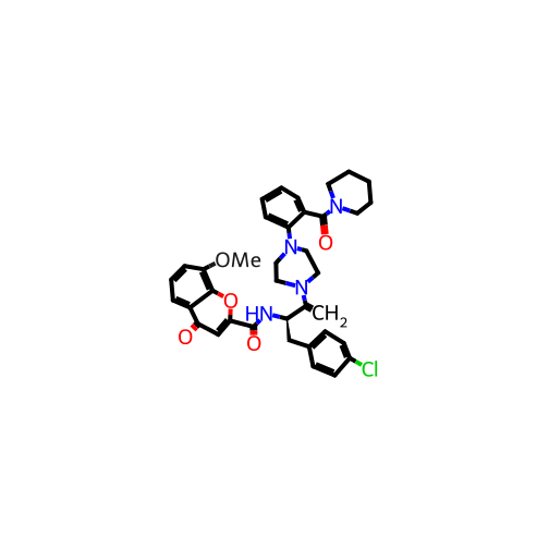 C=C([C@@H](Cc1ccc(Cl)cc1)NC(=O)c1cc(=O)c2cccc(OC)c2o1)N1CCN(c2ccccc2C(=O)N2CCCCC2)CC1